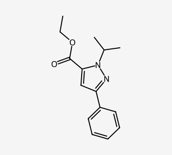 CCOC(=O)c1cc(-c2ccccc2)nn1C(C)C